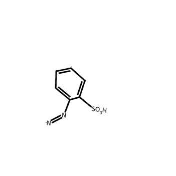 [N]=Nc1cc[c]cc1S(=O)(=O)O